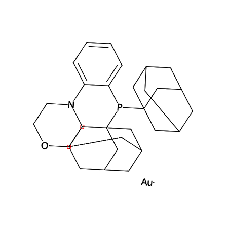 [Au].c1ccc(P(C23CC4CC(CC(C4)C2)C3)C23CC4CC(CC(C4)C2)C3)c(N2CCOCC2)c1